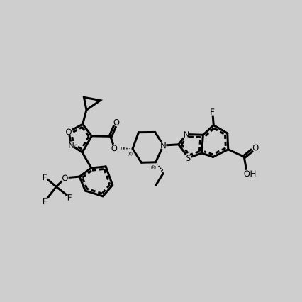 CC[C@@H]1C[C@H](OC(=O)c2c(-c3ccccc3OC(F)(F)F)noc2C2CC2)CCN1c1nc2c(F)cc(C(=O)O)cc2s1